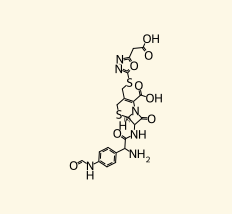 NC(C(=O)NC1C(=O)N2C(C(=O)O)=C(CSc3nnc(CC(=O)O)o3)CS[C@H]12)c1ccc(NC=O)cc1